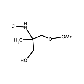 COOCC(C)(CO)NCl